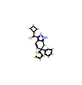 O=C(c1n[nH]c2c1C=CC(c1ccccc1)(c1cccs1)C2)C1CCC1